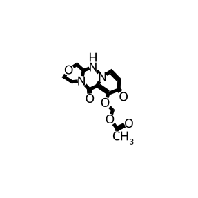 CC(=O)OCOc1c2n(ccc1=O)NC1COCCN1C2=O